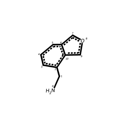 NCc1cccc2cocc12